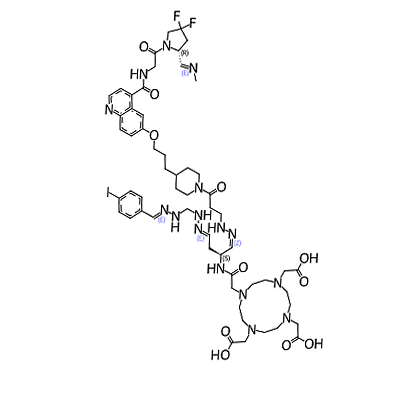 C/N=C/[C@H]1CC(F)(F)CN1C(=O)CNC(=O)c1ccnc2ccc(OCCCC3CCN(C(=O)CCN/N=C\[C@H](C/C=N/NCN/N=C/c4ccc(I)cc4)NC(=O)CN4CCN(CC(=O)O)CCN(CC(=O)O)CCN(CC(=O)O)CC4)CC3)cc12